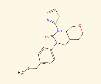 CSCc1ccc(C(CC2CCOCC2)C(=O)Nc2nccs2)cc1